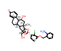 C[C@]12C=CC(=O)C=C1CC[C@@H]1[C@@H]2[C@@H](O)C[C@@]2(C)[C@H]1C[C@H]1O[C@@H](c3cccc(OCc4ccccc4N)c3F)O[C@]12C(=O)CO